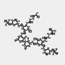 CC(=O)NCCNCc1cc(Cl)c(OCc2cc(F)cc(-c3cc(F)cc(COc4cc(OCc5cncc(N=S(C)(C)=O)c5)c(CNCCNC(C)=O)cc4Cl)c3C)c2C)cc1OCc1cncc(N=S(C)(C)=O)c1